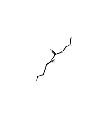 CCCCNC(=O)OCOC